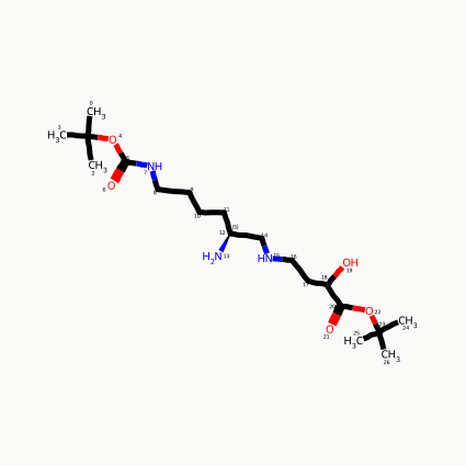 CC(C)(C)OC(=O)NCCCC[C@H](N)CNCCC(O)C(=O)OC(C)(C)C